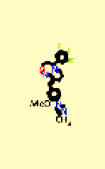 COc1cc(/C=C2\CCCN3C2=NOCCC3c2cc(F)c(F)c(F)c2)ccc1-n1cnc(C)c1